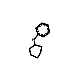 [CH]1CCCCC1[Se]c1ccccc1